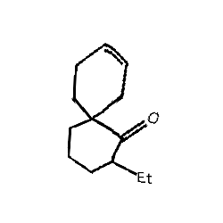 CCC1CCCC2(CC=CCC2)C1=O